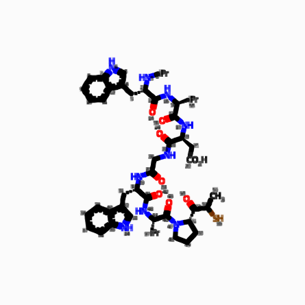 CC(C)N[C@@H](Cc1c[nH]c2ccccc12)C(=O)N[C@H](C(=O)N[C@@H](CC(=O)O)C(=O)NCC(=O)N[C@@H](Cc1c[nH]c2ccccc12)C(=O)N[C@H](C(=O)N1CCC[C@H]1C(=O)C(C)S)C(C)C)C(C)C